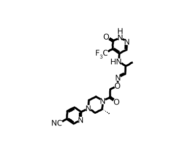 CC(/C=N/OCC(=O)N1CCN(c2ccc(C#N)cn2)C[C@H]1C)Nc1cn[nH]c(=O)c1C(F)(F)F